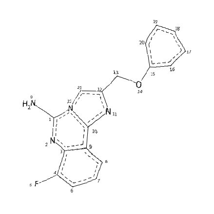 Nc1nc2c(F)cccc2c2nc(COc3ccccc3)cn12